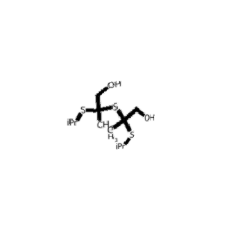 CC(C)SC(C)(CO)SC(C)(CO)SC(C)C